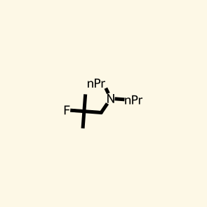 CCCN(CCC)CC(C)(C)F